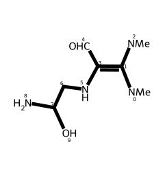 CNC(NC)=C(C=O)NCC(N)O